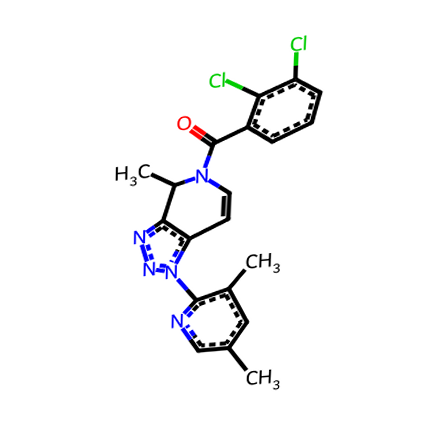 Cc1cnc(-n2nnc3c2C=CN(C(=O)c2cccc(Cl)c2Cl)C3C)c(C)c1